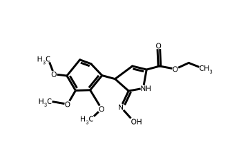 CCOC(=O)C1=CC(c2ccc(OC)c(OC)c2OC)C(=NO)N1